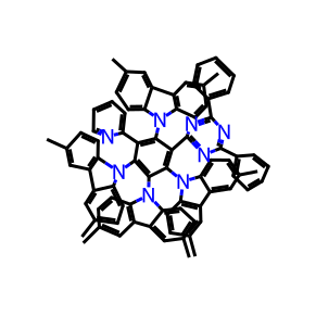 Cc1ccc2c(c1)c1cc(C)ccc1n2-c1c(-c2ccccn2)c(-n2c3ccc(C)cc3c3cc(C)ccc32)c(-n2c3ccc(C)cc3c3cc(C)ccc32)c(-n2c3ccc(C)cc3c3cc(C)ccc32)c1-c1nc(-c2ccccc2)nc(-c2ccccc2)n1